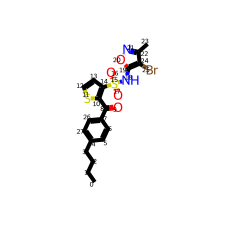 CCCCc1ccc(C(=O)c2sccc2S(=O)(=O)Nc2onc(C)c2Br)cc1